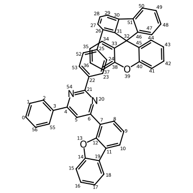 c1ccc(-c2cc(-c3cccc4c3oc3ccccc34)nc(-c3ccc(-c4cccc5c4C4(c6ccccc6Oc6ccccc64)c4ccccc4-5)cc3)n2)cc1